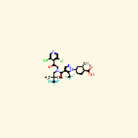 CC1CC(n2ncc(C(=O)N(CC(=O)c3c(Cl)cncc3Cl)CC(C)(C)C(F)(F)F)c2C(F)(F)F)CCC1C(=O)O